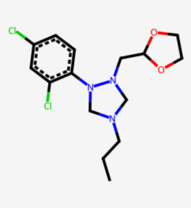 CCCN1CN(CC2OCCO2)N(c2ccc(Cl)cc2Cl)C1